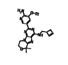 CCOc1cc(-c2nc(NCC3C=CC3)c3nc4n(c3n2)CCOC4(C)C)cnc1N